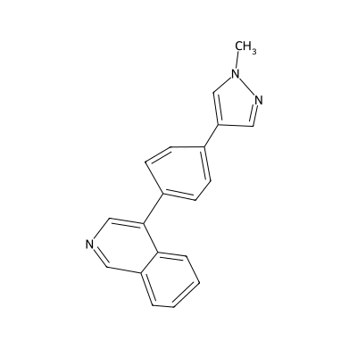 Cn1cc(-c2ccc(-c3cncc4ccccc34)cc2)cn1